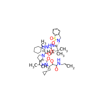 C=CCNC(=O)C(=O)C(CC1CC1)NC(=O)[C@@H]1[C@@H](C(C)C)CCN1C(=O)[C@@H](NC(=O)N[C@H](CN1Cc2ccccc2S1(=O)=O)C(C)(C)C)C1(C)CCCCC1